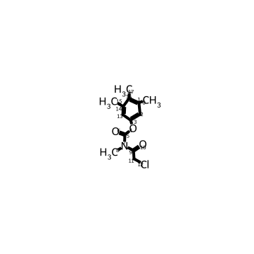 Cc1cc(OC(=O)N(C)C(=O)CCl)cc(C)c1C